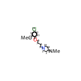 CNC1CCN(CCCCOc2ccc(Cl)cc2OC)CC1